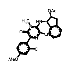 COc1ccc(-c2nc(C)c(N[C@@H]3c4ccccc4C[C@@H]3OC(C)=O)n(C)c2=O)c(Cl)c1